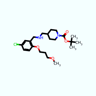 COCCCOc1ccc(Cl)cc1CNCC1CCN(C(=O)OC(C)(C)C)CC1